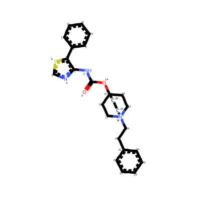 O=C(Nc1ncsc1-c1ccccc1)OC12CC[N+](CCc3ccccc3)(CC1)CC2